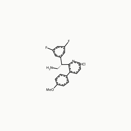 COc1ccc(-c2cccnc2[C@H](CN)c2cc(F)cc(F)c2)cc1.Cl